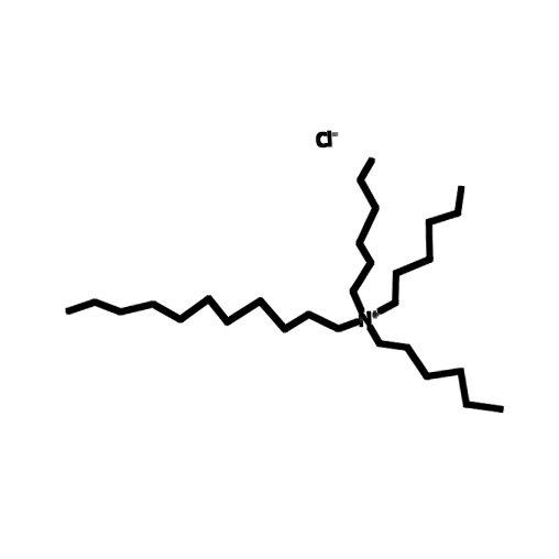 CCCCCCCCCCC[N+](CCCCCC)(CCCCCC)CCCCCC.[Cl-]